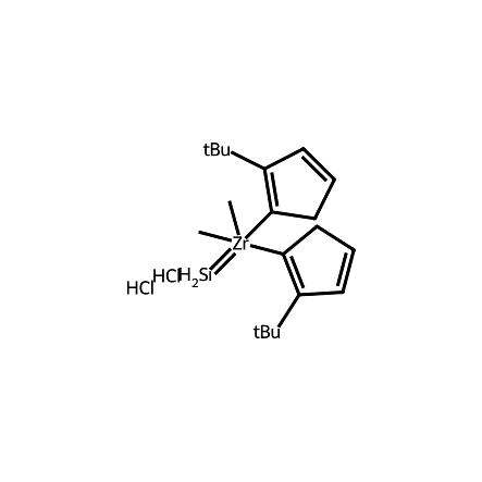 CC(C)(C)C1=[C]([Zr]([CH3])([CH3])(=[SiH2])[C]2=C(C(C)(C)C)C=CC2)CC=C1.Cl.Cl